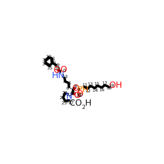 O=C(NCCCC[C@H](O[PH](=O)CCCCCCCCO)C(=O)N1CCC[C@H]1C(=O)O)OCc1ccccc1